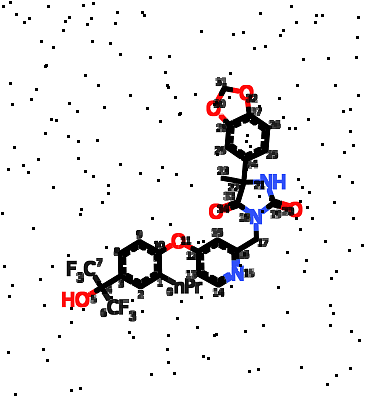 CCCc1cc(C(O)(C(F)(F)F)C(F)(F)F)ccc1Oc1ccnc(CN2C(=O)NC(C)(c3ccc4c(c3)OCO4)C2=O)c1